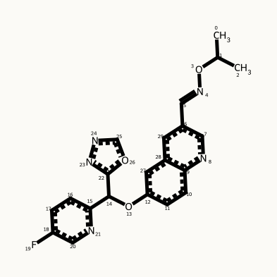 CC(C)O/N=C/c1cnc2ccc(OC(c3ccc(F)cn3)c3nnco3)cc2c1